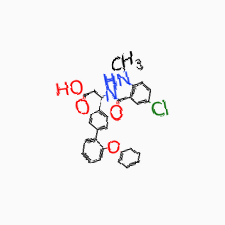 CCNc1ccc(Cl)cc1C(=O)NC(CC(=O)O)c1ccc(-c2ccccc2Oc2ccccc2)cc1